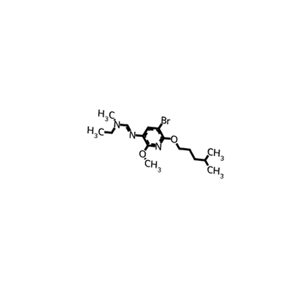 CCN(C)/C=N/c1cc(Br)c(OCCCC(C)C)nc1OC